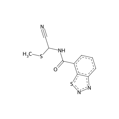 CSC(C#N)NC(=O)c1cccc2nnsc12